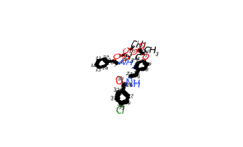 CC(OC(=O)OC(CN)c1ccccc1)OC(=O)C(C)(C)Oc1ccc(CCNC(=O)c2ccc(Cl)cc2)cc1